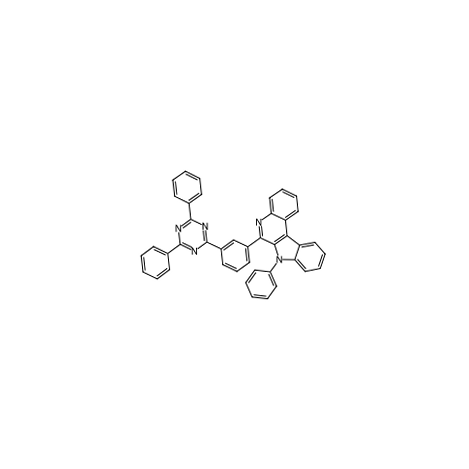 c1ccc(-c2nc(-c3ccccc3)nc(-c3cccc(-c4nc5ccccc5c5c6ccccc6n(-c6ccccc6)c45)c3)n2)cc1